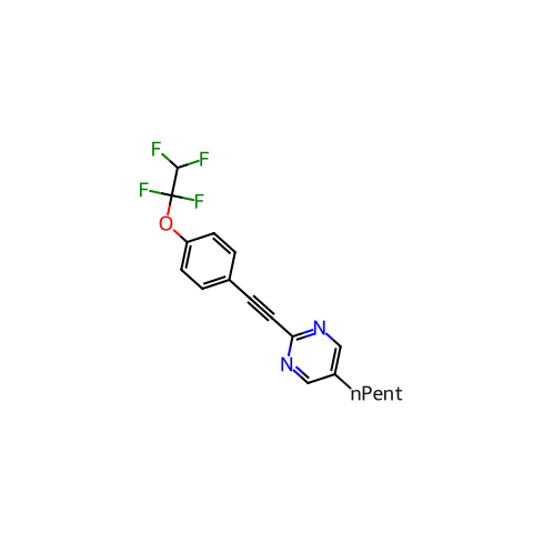 CCCCCc1cnc(C#Cc2ccc(OC(F)(F)C(F)F)cc2)nc1